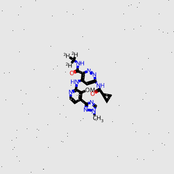 [2H]C([2H])([2H])NC(=O)c1nnc(NC(=O)C2CC2)cc1Nc1nccc(-c2ncn(C)n2)c1OC